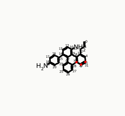 C=CCc1ccccc1-c1c(N)ccc(-c2ccc(N)cc2)c1-c1ccccc1CC=C